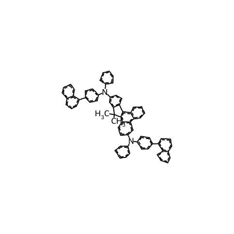 CC1(C)c2cc(N(c3ccccc3)c3ccc(-c4cccc5ccccc45)cc3)ccc2-c2c1c1ccc(N(c3ccccc3)c3ccc(-c4cccc5ccccc45)cc3)cc1c1ccccc21